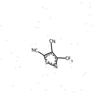 N#Cc1snc(C(F)(F)F)c1C#N